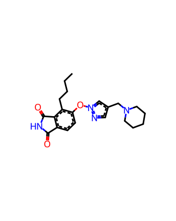 CCCCc1c(On2cc(CN3CCCCC3)cn2)ccc2c1C(=O)NC2=O